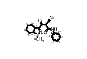 CN1N=C(C(=O)C(C#N)C(=O)Nc2ccccc2)C2CCCCC21